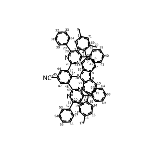 Cc1ccc(-c2ccc3c4ccc(-c5ccc(C)cc5C)cc4n(-c4c(-c5nc(-c6ccccc6)cc(-c6ccccc6)n5)cc(C#N)cc4-c4nc(-c5ccccc5)cc(-c5ccccc5)n4)c3c2)c(C)c1